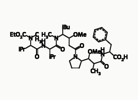 CCOC(=O)N(C)C(C(=O)NC(C(=O)N(C)C(C(C)CC)C(CC(=O)N1CCCC1C(OC)C(C)C(=O)NC(Cc1ccccc1)C(=O)O)OC)C(C)C)C(C)C